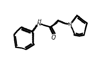 O=C(Cn1cccc1)Nc1ccccc1